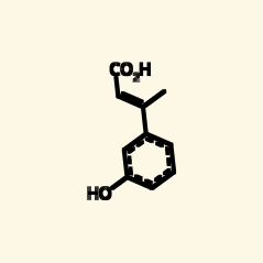 CC(=CC(=O)O)c1cccc(O)c1